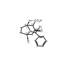 CCC(c1ccccc1)N1[C@H]2CC[C@@H]1C(C(=O)O)C(=O)C2